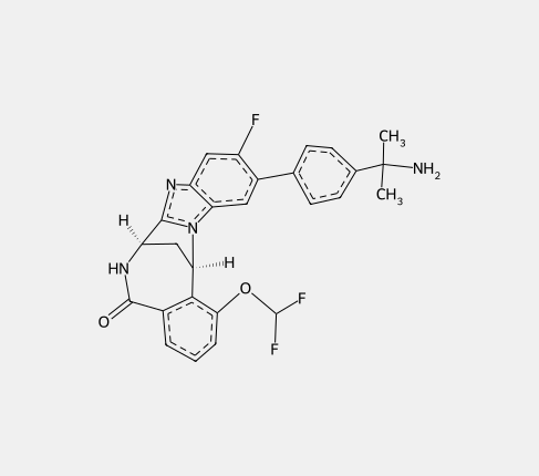 CC(C)(N)c1ccc(-c2cc3c(cc2F)nc2n3[C@@H]3C[C@H]2NC(=O)c2cccc(OC(F)F)c23)cc1